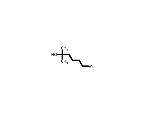 CC(C)CCCCC(C)(C)O